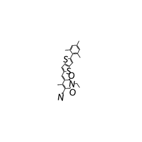 CCN1C(=O)C(C#N)=C(C)/C(=C/c2cc3sc(-c4c(C)cc(C)cc4C)cc3s2)C1=O